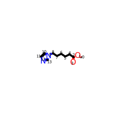 COC(=O)CCCCCn1c[c]nc1